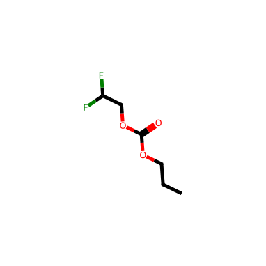 CCCOC(=O)OCC(F)F